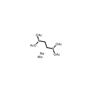 CC(=O)ON(CCN(OC(C)=O)OC(C)=O)OC(C)=O.[Mo].[Na]